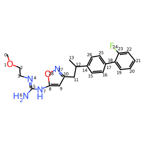 COCCN=C(N)Nc1cc(CC(C)c2ccc(-c3ccccc3F)cc2)no1